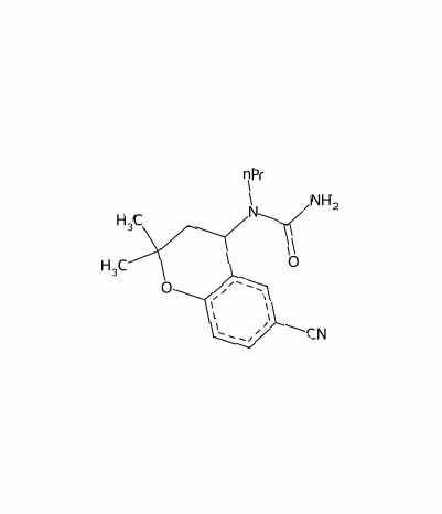 CCCN(C(N)=O)C1CC(C)(C)Oc2ccc(C#N)cc21